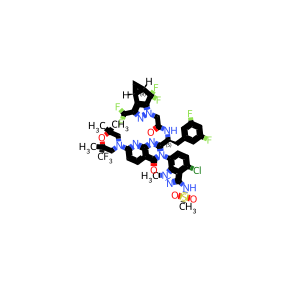 Cn1nc(NS(C)(=O)=O)c2c(Cl)ccc(-n3c([C@H](Cc4cc(F)cc(F)c4)NC(=O)Cn4nc(C(F)F)c5c4C(F)(F)[C@@H]4C[C@H]54)nc4nc(N5CC(C)(C)OC(C)(C(F)(F)F)C5)ccc4c3=O)c21